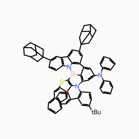 CC(C)(C)c1ccc(N2c3cc(N(c4ccccc4)c4ccccc4)cc4c3B(c3sc5cc6ccccc6cc5c32)n2c3ccc(C56CC7CC(CC(C7)C5)C6)cc3c3cc(C56CC7CC(CC(C7)C5)C6)cc-4c32)c(-c2ccccc2)c1